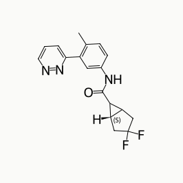 Cc1ccc(NC(=O)C2C3CC(F)(F)C[C@@H]32)cc1-c1cccnn1